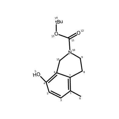 Cc1ccc(O)c2c1CCN(C(=O)OC(C)(C)C)C2